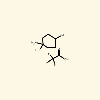 CC1(N)CCC(N)CC1.O=C(O)C(F)(F)F